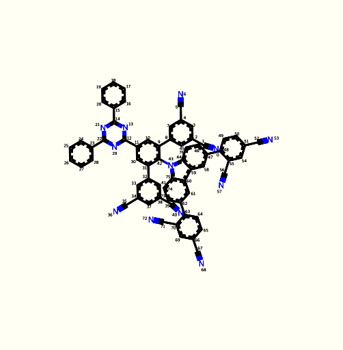 N#Cc1cc(C#N)cc(-c2cc(-c3nc(-c4ccccc4)nc(-c4ccccc4)n3)cc(-c3cc(C#N)cc(C#N)c3)c2-n2c3ccc(-c4ccc(C#N)cc4C#N)cc3c3cc(-c4ccc(C#N)cc4C#N)ccc32)c1